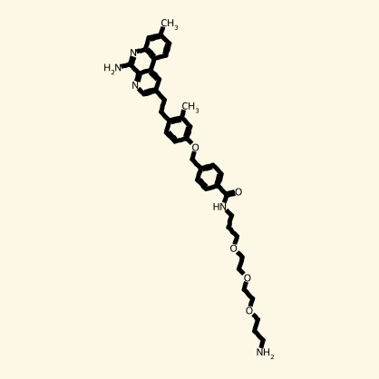 Cc1ccc2c(c1)nc(N)c1ncc(CCc3ccc(OCc4ccc(C(=O)NCCCOCCOCCOCCCN)cc4)cc3C)cc12